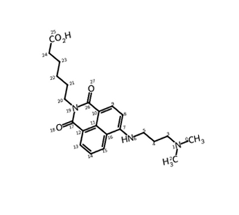 CN(C)CCCNc1ccc2c3c(cccc13)C(=O)N(CCCCCC(=O)O)C2=O